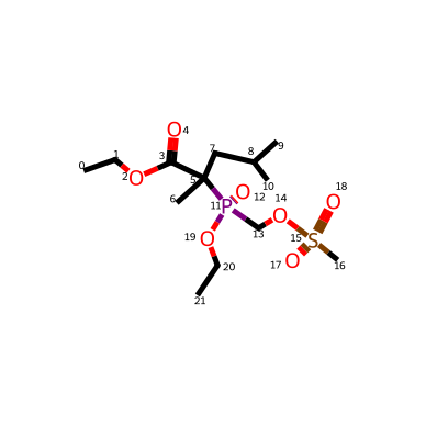 CCOC(=O)C(C)(CC(C)C)P(=O)(COS(C)(=O)=O)OCC